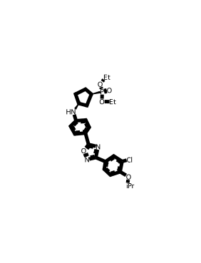 CCOP(=O)(OCC)[C@@H]1CC[C@H](Nc2ccc(-c3nc(-c4ccc(OC(C)C)c(Cl)c4)no3)cc2)C1